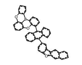 c1ccc2c(c1)Oc1cccc3c1B2c1cccc(-c2c4ccccc4c(-c4ccc5oc6cc7ccccc7cc6c5c4)c4ccccc24)c1O3